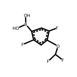 OB(O)c1cc(F)c(OC(F)F)cc1F